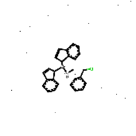 C[SiH](C)[Zr]([CH]1C=Cc2ccccc21)[CH]1C=Cc2ccccc21.ClCc1ccccc1